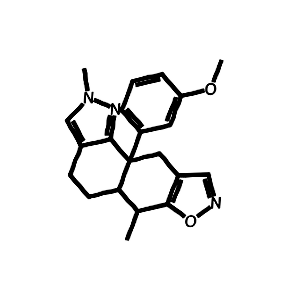 COc1cccc(C23Cc4cnoc4C(C)C2CCc2cn(C)nc23)c1